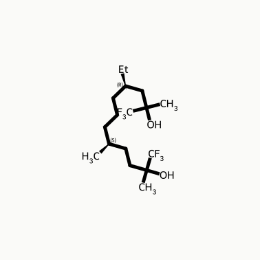 CC[C@H](CCC[C@H](C)CCC(C)(O)C(F)(F)F)CC(C)(O)C(F)(F)F